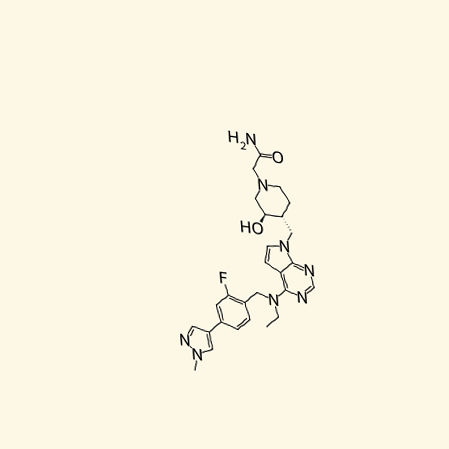 CCN(Cc1ccc(-c2cnn(C)c2)cc1F)c1ncnc2c1ccn2C[C@H]1CCN(CC(N)=O)C[C@@H]1O